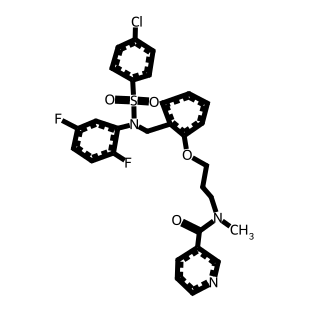 CN(CCCOc1ccccc1CN(c1cc(F)ccc1F)S(=O)(=O)c1ccc(Cl)cc1)C(=O)c1cccnc1